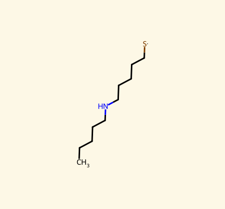 CCCCCNCCCCC[S]